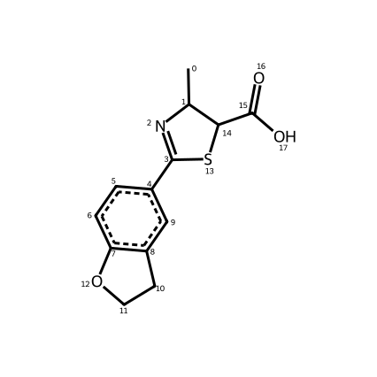 CC1N=C(c2ccc3c(c2)CCO3)SC1C(=O)O